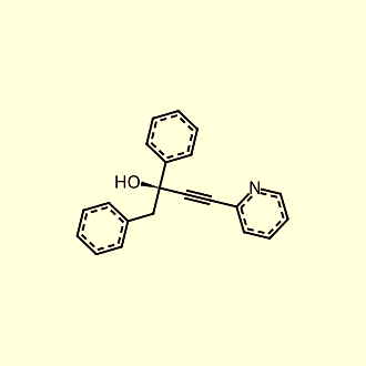 O[C@@](C#Cc1ccccn1)(Cc1ccccc1)c1ccccc1